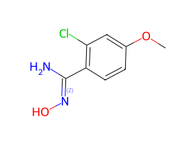 COc1ccc(/C(N)=N/O)c(Cl)c1